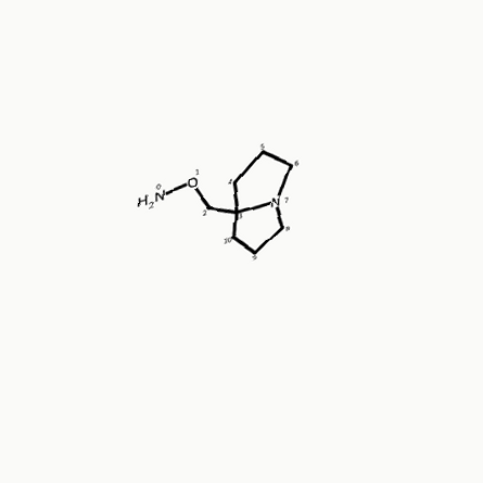 NOCC12CCCN1CCC2